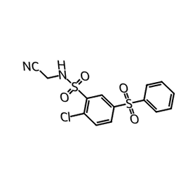 N#CCNS(=O)(=O)c1cc(S(=O)(=O)c2ccccc2)ccc1Cl